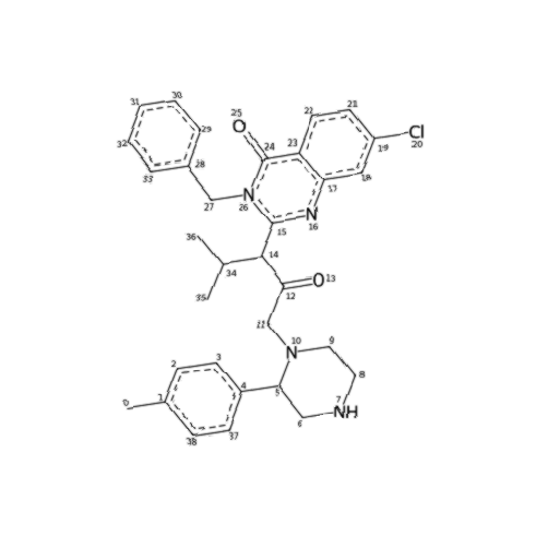 Cc1ccc(C2CNCCN2CC(=O)C(c2nc3cc(Cl)ccc3c(=O)n2Cc2ccccc2)C(C)C)cc1